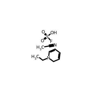 CC#N.CCN1C=CC=CC1.O=S(=O)(O)F